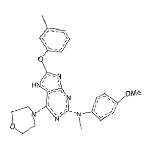 COc1ccc(N(C)c2nc(N3CCOCC3)c3[nH]c(Oc4cccc(C)c4)nc3n2)cc1